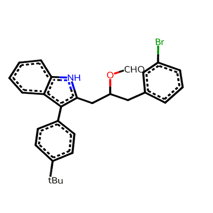 CC(C)(C)c1ccc(-c2c(CC(Cc3cccc(Br)c3)OC=O)[nH]c3ccccc23)cc1